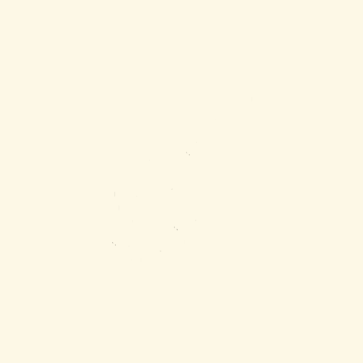 C=C(N)C1=C(O)[C@@H](N(C)C)C2C[C@@H]3Cc4c(NC(=O)Oc5ccc(C)cc5)ccc(C)c4C(=C)C3=C(C)[C@]2(O)C1=C